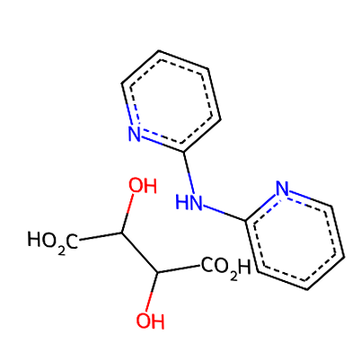 O=C(O)C(O)C(O)C(=O)O.c1ccc(Nc2ccccn2)nc1